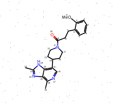 COc1ccccc1CCC(=O)N1CCC(c2cnc(C)c3nc(C)[nH]c23)CC1